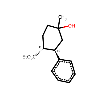 CCOC(=O)[C@@H]1CCC(C)(O)C[C@H]1c1ccccc1